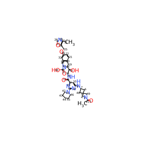 CC(=O)N1CC2(CC(Nc3cc(C(=O)NCC(O)[C@@H]4Cc5ccc(OCc6ocnc6C)cc5CN4C(=O)O)nc(N4CCCCC4)n3)C2)C1